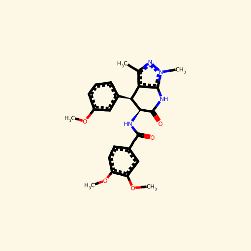 COc1cccc([C@H]2c3c(C)nn(C)c3NC(=O)[C@H]2NC(=O)c2ccc(OC)c(OC)c2)c1